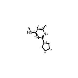 CNc1nc(C)nc(N2CCCC2)n1